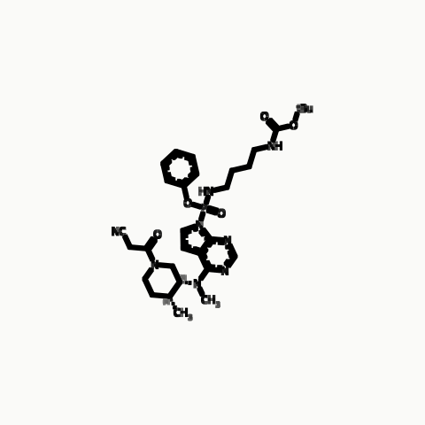 C[C@@H]1CCN(C(=O)CC#N)C[C@@H]1N(C)c1ncnc2c1ccn2P(=O)(NCCCCNC(=O)OC(C)(C)C)Oc1ccccc1